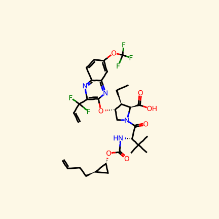 C=CCC[C@@H]1C[C@H]1OC(=O)N[C@H](C(=O)N1C[C@H](Oc2nc3cc(OC(F)(F)F)ccc3nc2C(F)(F)C=C)[C@@H](CC)[C@H]1C(=O)O)C(C)(C)C